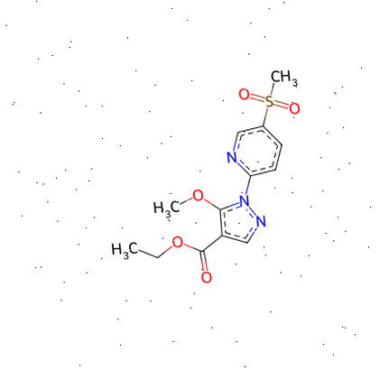 CCOC(=O)c1cnn(-c2ccc(S(C)(=O)=O)cn2)c1OC